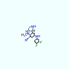 CN1c2c(C#N)cc(Nc3ccc(F)c(F)c3)cc2[C@@H]2CNCC[C@@H]21